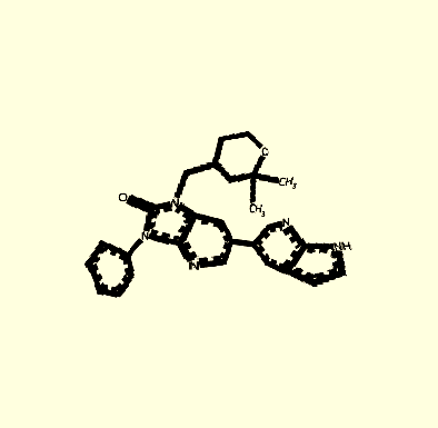 CC1(C)CC(Cn2c(=O)n(-c3ccccc3)c3ncc(-c4cnc5[nH]ccc5c4)cc32)CCO1